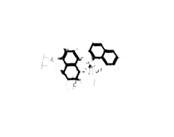 CC1(C)C[C@](O)(C(F)(F)F)[C@H](NS(=O)(=O)c2cccc3ccccc23)c2ccc(F)c(O)c21